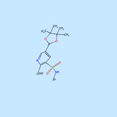 COc1ncc(B2OC(C)(C)C(C)(C)O2)cc1S(=O)(=O)NC(C)C